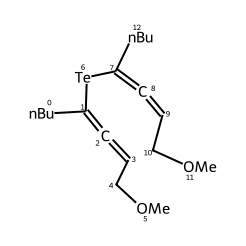 CCCCC(=C=CCOC)[Te]C(=C=CCOC)CCCC